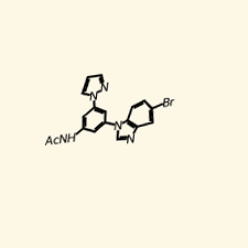 CC(=O)Nc1cc(-n2cccn2)cc(-n2cnc3cc(Br)ccc32)c1